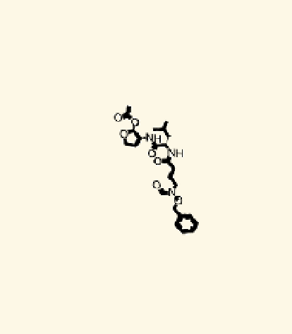 CC(=O)O[C@@H]1OCC[C@@H]1NC(=O)[C@H](CC(C)C)NC(=O)CCCN(C=O)OCc1ccccc1